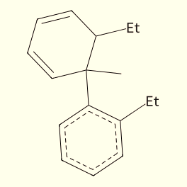 CCc1ccccc1C1(C)C=CC=CC1CC